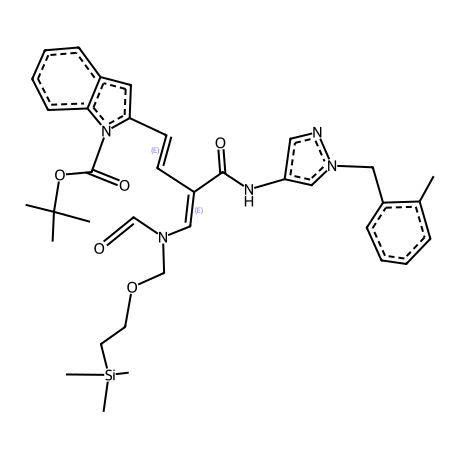 Cc1ccccc1Cn1cc(NC(=O)C(/C=C/c2cc3ccccc3n2C(=O)OC(C)(C)C)=C/N(C=O)COCC[Si](C)(C)C)cn1